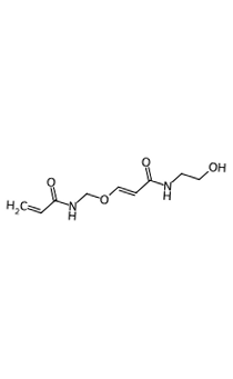 C=CC(=O)NCO/C=C/C(=O)NCCO